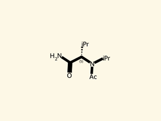 CC(=O)N(C(C)C)[C@H](C(N)=O)C(C)C